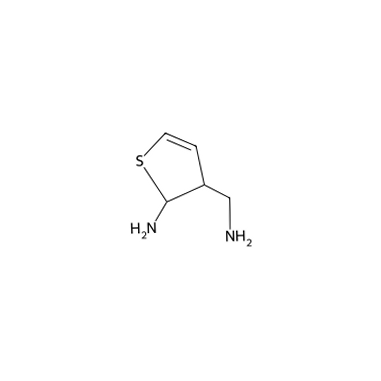 NCC1C=CSC1N